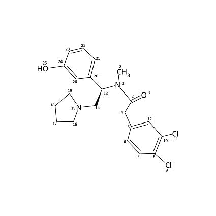 CN(C(=O)Cc1ccc(Cl)c(Cl)c1)[C@@H](CN1CCCC1)c1cccc(O)c1